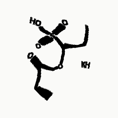 C=CC(=O)OC(CC)S(=O)(=O)O.[KH]